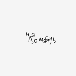 O.[CaH2].[MgH2].[SiH4]